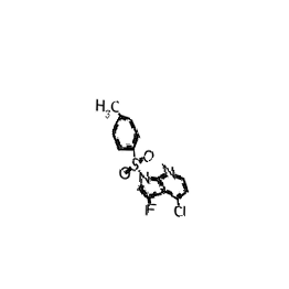 Cc1ccc(S(=O)(=O)n2cc(F)c3c(Cl)ccnc32)cc1